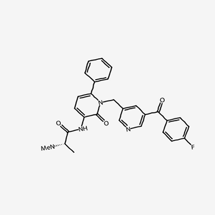 CN[C@@H](C)C(=O)Nc1ccc(-c2ccccc2)n(Cc2cncc(C(=O)c3ccc(F)cc3)c2)c1=O